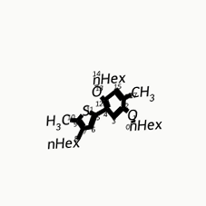 CCCCCCOc1cc(-c2cc(CCCCCC)c(C)s2)c(OCCCCCC)cc1C